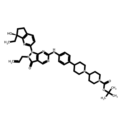 C=CCn1c(=O)c2cnc(Nc3ccc(C4CCN(C5CCN(C(=O)OC(C)(C)C)CC5)CC4)cc3)nc2n1-c1ccc2c(n1)[C@](O)(CC)CC2